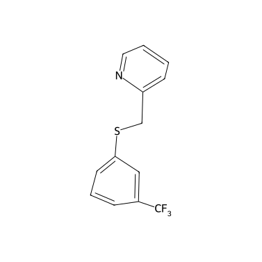 FC(F)(F)c1cccc(SCc2ccccn2)c1